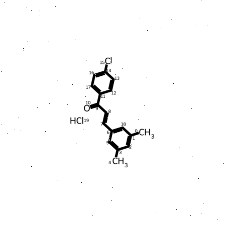 Cc1cc(C)cc(C=CC(=O)c2ccc(Cl)cc2)c1.Cl